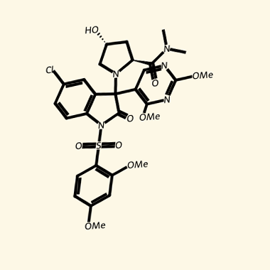 COc1ccc(S(=O)(=O)N2C(=O)C(c3cnc(OC)nc3OC)(N3C[C@H](O)C[C@H]3C(=O)N(C)C)c3cc(Cl)ccc32)c(OC)c1